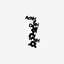 CC(=O)NCCNC(=O)c1cc(-c2ccnc(Nc3cc(C)cc(C)c3)n2)nn1C